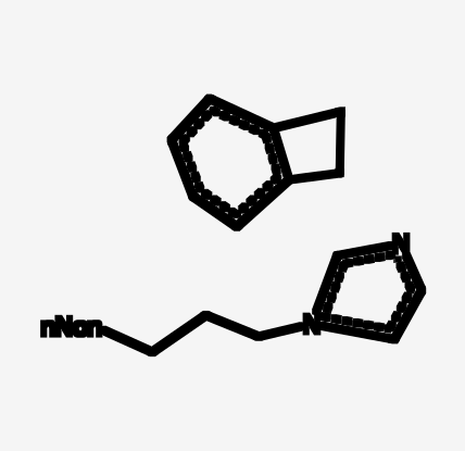 CCCCCCCCCCCCn1ccnc1.c1ccc2c(c1)CC2